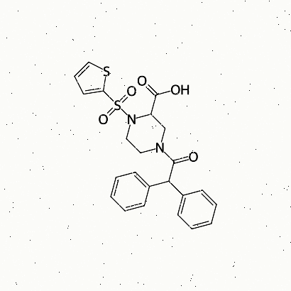 O=C(O)C1CN(C(=O)C(c2ccccc2)c2ccccc2)CCN1S(=O)(=O)c1cccs1